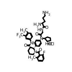 Cc1ccc(NC(=O)[C@H]2CCCN(C(=O)c3c(C)cccc3F)[C@H]2c2ccc(N(C(=O)CNC(=O)[C@@H](N)CCCN)C3CCCC3)cc2)cc1C(F)(F)F.Cl.Cl